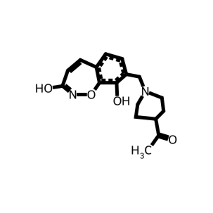 CC(=O)C1CCN(Cc2ccc3c(c2O)ON=C(O)C=C3)CC1